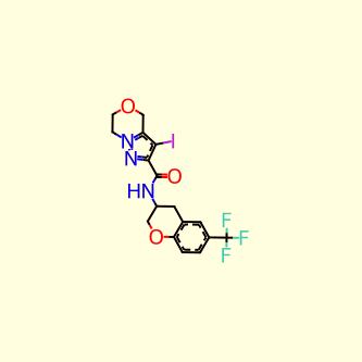 O=C(NC1COc2ccc(C(F)(F)F)cc2C1)c1nn2c(c1I)COCC2